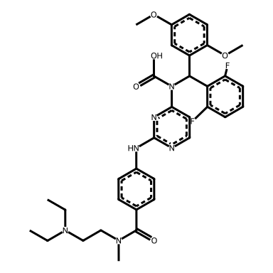 CCN(CC)CCN(C)C(=O)c1ccc(Nc2nccc(N(C(=O)O)C(c3cc(OC)ccc3OC)c3c(F)cccc3F)n2)cc1